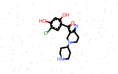 Oc1cc(O)c(-c2onc3c2CN(C2CCNCC2)CC3)cc1Cl